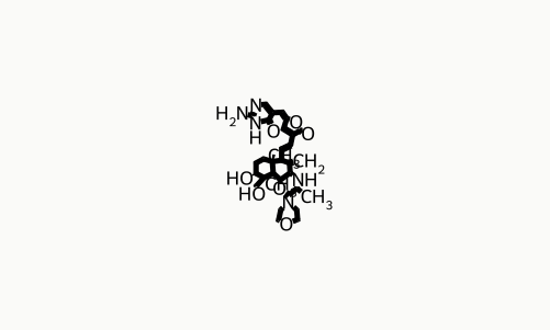 C=C1C(NC(C)C(=O)N2CCOCC2)CC2[C@](C)(CC[C@@H](O)[C@@]2(C)CO)C1/C=C/C1=CC(=C\c2cnc(N)[nH]c2=O)/OC1=O